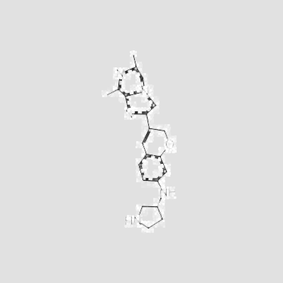 Cc1cn2cc(C3=Cc4ccc(N[C@H]5CCNC5)cc4OC3)nc2c(C)n1